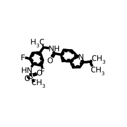 CC(C)c1ccc2cc(C(=O)N[C@H](C)c3cc(F)c(NS(C)(=O)=O)c(F)c3)ccc2n1